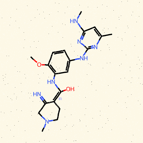 CNc1cc(C)nc(Nc2ccc(OC)c(N/C(O)=C3/CCN(C)CC3=N)c2)n1